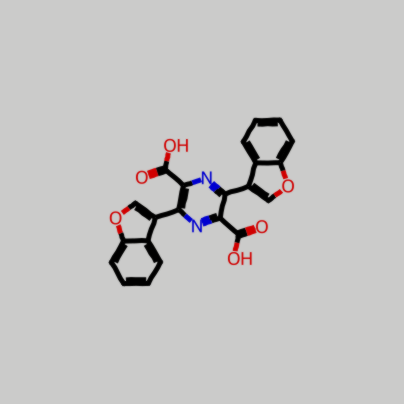 O=C(O)c1nc(-c2coc3ccccc23)c(C(=O)O)nc1-c1coc2ccccc12